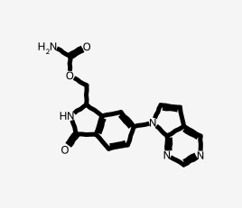 NC(=O)OCC1NC(=O)c2ccc(-n3ccc4cncnc43)cc21